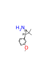 COc1cccc([C@H]2[C@H](N)C2(C)C)c1